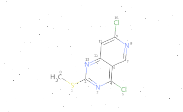 CSc1nc(Cl)c2cnc(Cl)cc2n1